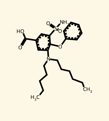 CCCCCCN(CCCCC)c1cc(C(=O)O)cc(S(N)(=O)=O)c1Oc1ccccc1